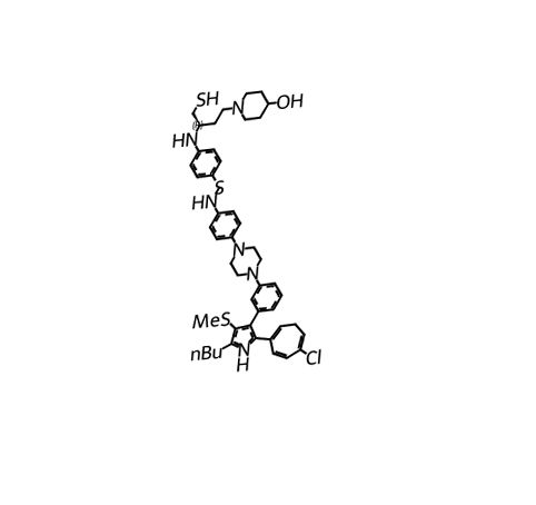 CCCCc1[nH]c(C2=CCC=C(Cl)C=C2)c(-c2cccc(N3CCN(c4ccc(NSc5ccc(N[C@@H](CS)CCN6CCC(O)CC6)cc5)cc4)CC3)c2)c1SC